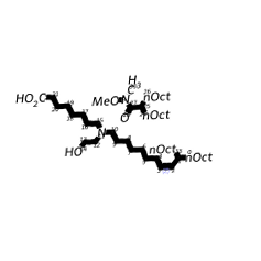 CCCCCCCCC(/C=C\CCCCCCCN(CCO)CCCCCCCC(=O)O)CCCCCCCC.CCCCCCCCC(CCCCCCCC)C(=O)N(C)OC